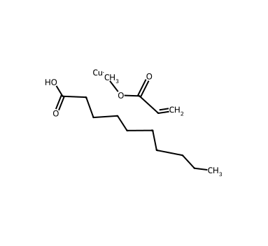 C=CC(=O)OC.CCCCCCCCCC(=O)O.[Cu]